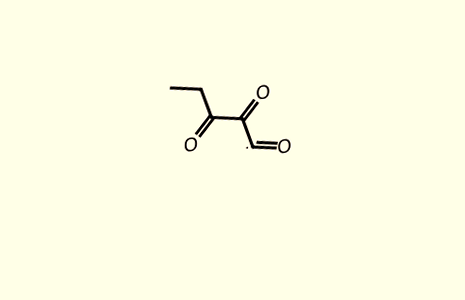 CCC(=O)C(=O)[C]=O